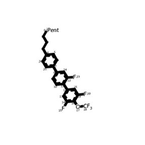 CCCC(C)CCCc1ccc(-c2ccc(-c3cc(F)c(OC(F)(F)F)c(F)c3)c(F)c2)cc1